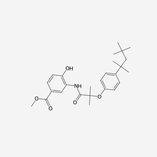 COC(=O)c1ccc(O)c(NC(=O)C(C)(C)Oc2ccc(C(C)(C)CC(C)(C)C)cc2)c1